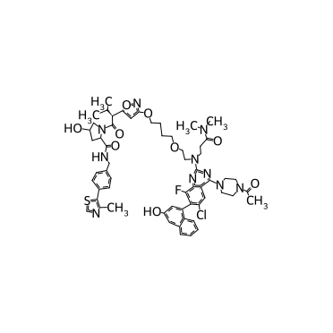 CC(=O)N1CCN(c2nc(N(CCOCCCCOc3cc([C@@H](C(=O)N4CC(O)CC4C(=O)NCc4ccc(-c5scnc5C)cc4)C(C)C)on3)CCC(=O)N(C)C)nc3c(F)c(-c4cc(O)cc5ccccc45)c(Cl)cc23)CC1